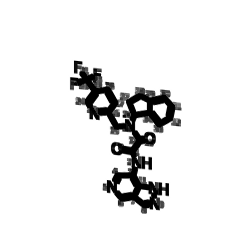 O=C(Nc1cncc2cn[nH]c12)C(=O)N(Cc1ccc(C(F)(F)F)cn1)C1CCc2ccccc21